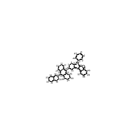 c1ccc(-n2c3ccc(-c4c5ccccc5c(-c5ccc6ccccc6c5)c5ccccc45)cc3c3c4ccccc4oc32)cc1